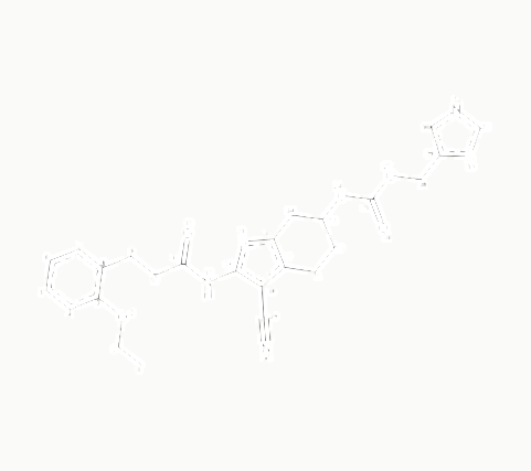 CCOc1ccccc1CCC(=O)Nc1sc2c(c1C#N)CCC(OC(=O)OCc1cncs1)C2